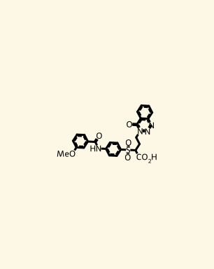 COc1cccc(C(=O)Nc2ccc(S(=O)(=O)C(CCn3nnc4ccccc4c3=O)C(=O)O)cc2)c1